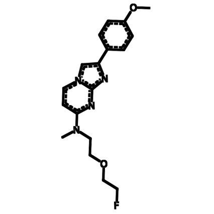 COc1ccc(-c2cn3ccc(N(C)CCOCCF)nc3n2)cc1